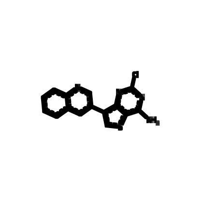 Nc1nc(Cl)nc2c(-c3cnc4ccccc4c3)csc12